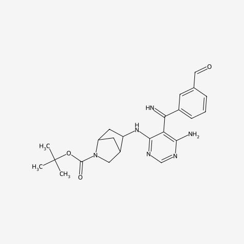 CC(C)(C)OC(=O)N1CC2CC1CC2Nc1ncnc(N)c1C(=N)c1cccc(C=O)c1